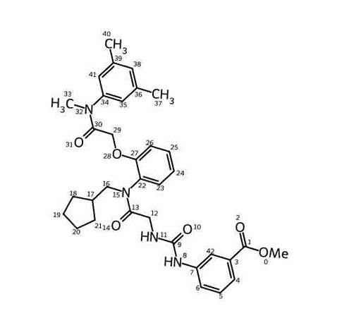 COC(=O)c1cccc(NC(=O)NCC(=O)N(CC2CCCC2)c2ccccc2OCC(=O)N(C)c2cc(C)cc(C)c2)c1